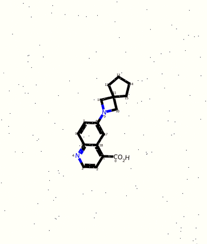 O=C(O)c1ccnc2ccc(N3CC4(CCCC4)C3)cc12